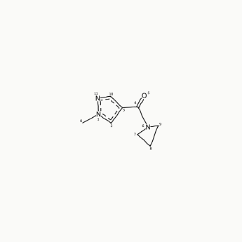 Cn1cc(C(=O)N2CCC2)cn1